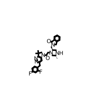 C[C@@H]1CN(CC(=O)N2CC(C)(C)c3nnc(Cc4ccc(F)cc4F)cc32)[C@@H](CN2Cc3ccccc3C2=O)CN1